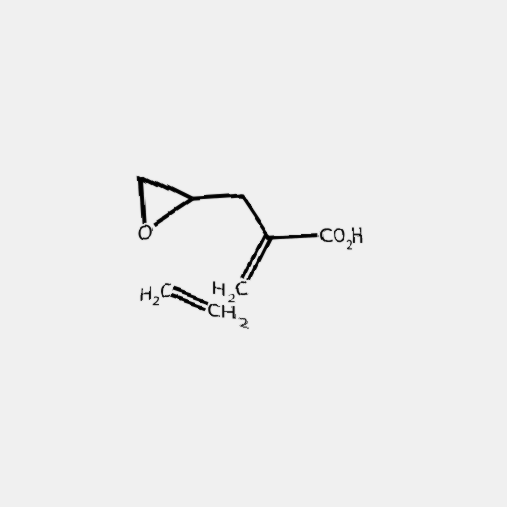 C=C.C=C(CC1CO1)C(=O)O